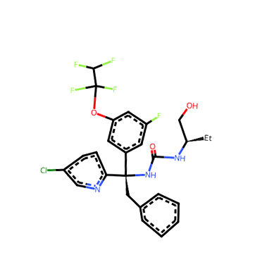 CC[C@H](CO)NC(=O)N[C@@](Cc1ccccc1)(c1cc(F)cc(OC(F)(F)C(F)F)c1)c1ccc(Cl)cn1